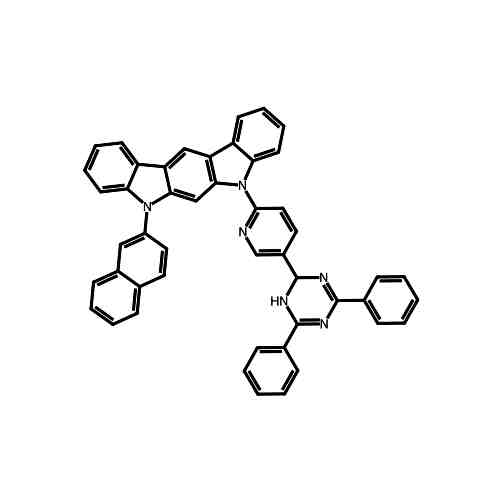 c1ccc(C2=NC(c3ccc(-n4c5ccccc5c5cc6c7ccccc7n(-c7ccc8ccccc8c7)c6cc54)nc3)NC(c3ccccc3)=N2)cc1